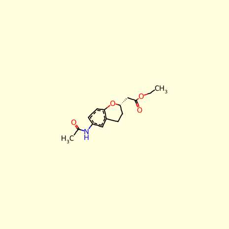 CCOC(=O)C[C@@H]1CCc2cc(NC(C)=O)ccc2O1